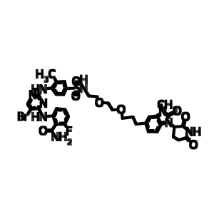 Cc1cc(S(=O)(=O)NCCOCCOCCCc2ccc3c(c2)n(C)c(=O)n3C2CCC(=O)NC2=O)ccc1Nc1ncc(Br)c(Nc2cccc(F)c2C(N)=O)n1